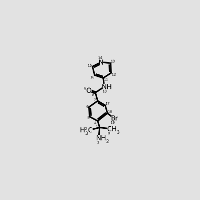 CC(C)(N)c1ccc(C(=O)Nc2ccncc2)cc1Br